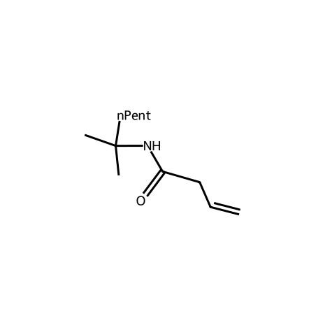 C=CCC(=O)NC(C)(C)CCCCC